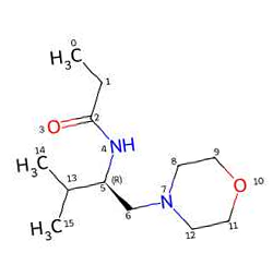 CCC(=O)N[C@@H](CN1CCOCC1)C(C)C